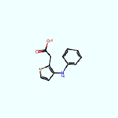 O=C(O)Cc1sccc1Nc1ccccc1